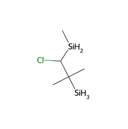 C[SiH2]C(Cl)C(C)(C)[SiH3]